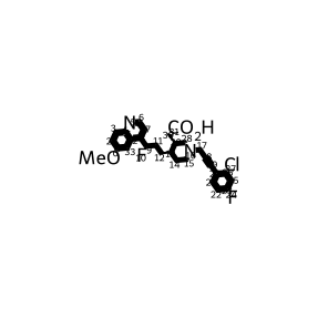 COc1ccc2nccc([C@@H](F)CC[C@@H]3CCN(CC#Cc4ccc(F)cc4Cl)C[C@@H]3CC(=O)O)c2c1